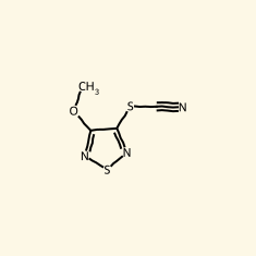 COc1nsnc1SC#N